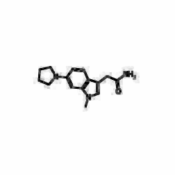 Cn1cc(CC(N)=O)c2ccc(N3CCCC3)cc21